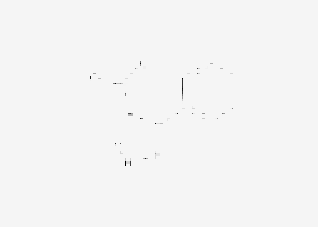 O=C(O)n1nnnc1-c1ccccc1